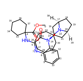 COC(=O)C1(Nc2nc3ccccc3n([C@H]3C[C@H]4CC[C@@H](C3)N4C3CCCCCCC3)c2=O)CCCCC1